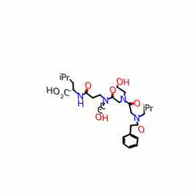 CC(C)C[C@H](NC(=O)CCN(CCO)C(=O)CN(CCO)C(=O)CN(CC(C)C)C(=O)Cc1ccccc1)C(=O)O